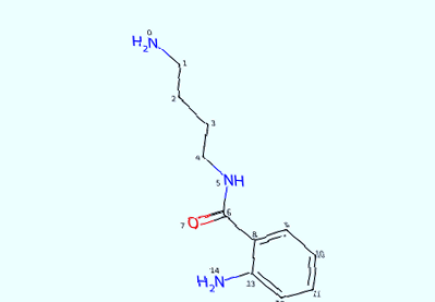 NCCCCNC(=O)c1ccccc1N